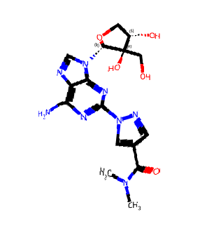 CN(C)C(=O)c1cnn(-c2nc(N)c3ncn([C@@H]4OC[C@H](O)[C@]4(O)CO)c3n2)c1